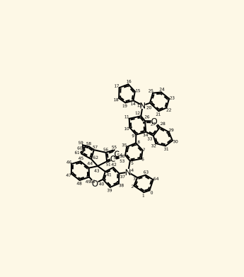 c1ccc(N(c2ccc(-c3ccc(N(c4ccccc4)c4ccccc4)c4oc5ccccc5c34)cc2)c2ccc3c(c2)C2(c4ccccc4O3)c3ccccc3-c3ccccc32)cc1